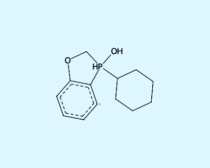 O[PH]1(C2CCCCC2)COc2ccc[c]c21